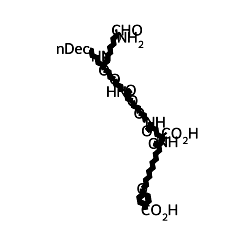 CCCCCCCCCCCCCCC(CNCCCC[C@H](N)C=O)OCCOCCNC(=O)COCCOCCNC(=O)CC[C@H](NC(=O)CCCCCCCCCOc1ccc(C(=O)O)cc1)C(=O)O